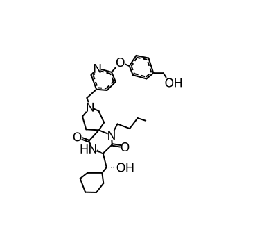 CCCCN1C(=O)[C@@H]([C@H](O)C2CCCCC2)NC(=O)C12CCN(Cc1ccc(Oc3ccc(CO)cc3)nc1)CC2